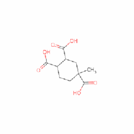 CC1(C(=O)O)CCC(C(=O)O)C(C(=O)O)C1